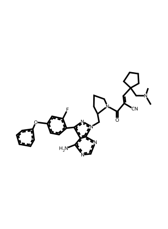 CN(C)CC1(C=C(C#N)C(=O)N2CCCC2Cn2nc(-c3ccc(Oc4ccccc4)cc3F)c3c(N)ncnc32)CCCC1